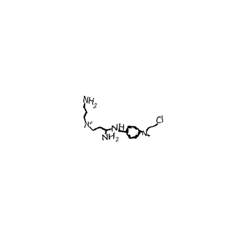 CN(CCCl)c1ccc(CNC(N)CC[N+](C)(C)CCCN)cc1